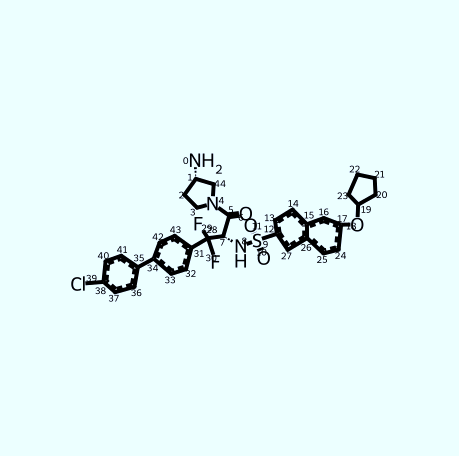 N[C@H]1CCN(C(=O)[C@H](NS(=O)(=O)c2ccc3cc(OC4CCCC4)ccc3c2)C(F)(F)c2ccc(-c3ccc(Cl)cc3)cc2)C1